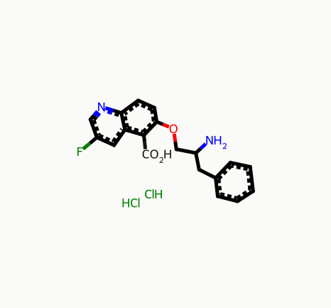 Cl.Cl.NC(COc1ccc2ncc(F)cc2c1C(=O)O)Cc1ccccc1